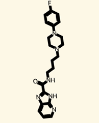 O=C(NCCCCN1CCN(c2ccc(F)cc2)CC1)c1nc2cccnc2[nH]1